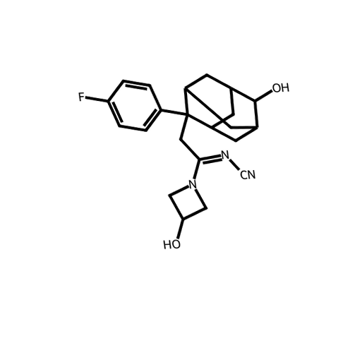 N#C/N=C(/CC1(c2ccc(F)cc2)C2CC3CC1CC(C2)C3O)N1CC(O)C1